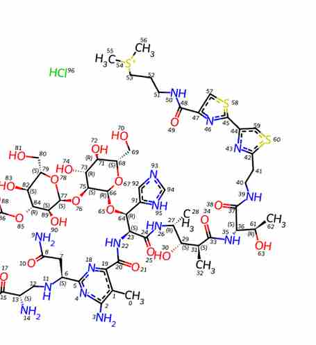 Cc1c(N)nc([C@H](CC(N)=O)NC[C@H](N)C(N)=O)nc1C(=O)N[C@H](C(=O)N[C@H](C)[C@@H](O)[C@H](C)C(=O)N[C@H](C(=O)NCCc1nc(-c2nc(C(=O)NCCC[S+](C)C)cs2)cs1)[C@@H](C)O)[C@@H](O[C@@H]1O[C@@H](CO)[C@H](O)[C@@H](O)[C@@H]1O[C@@H]1O[C@@H](CO)[C@H](O)[C@@H](OC(N)=O)[C@@H]1O)c1cnc[nH]1.Cl